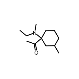 CCN(C)C1(C(C)=O)CCCC(C)C1